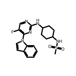 CS(=O)(=O)NC1CCC(Nc2ncc(F)c(-n3ccc4ccccc43)n2)CC1